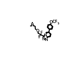 CN(C)CCOCC(F)(F)c1nnc2ccc(-c3ccc(OC(F)(F)F)cc3)cn12